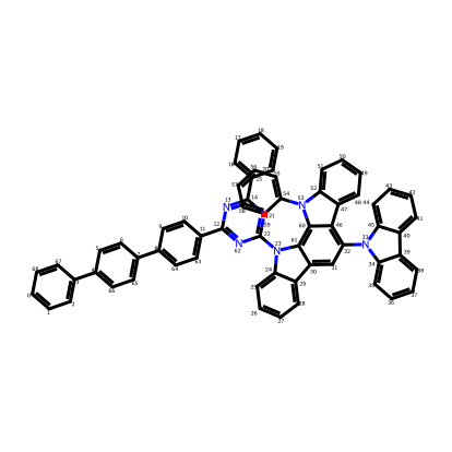 c1ccc(-c2ccc(-c3ccc(-c4nc(-c5ccccc5)nc(-n5c6ccccc6c6cc(-n7c8ccccc8c8ccccc87)c7c8ccccc8n(-c8ccccc8)c7c65)n4)cc3)cc2)cc1